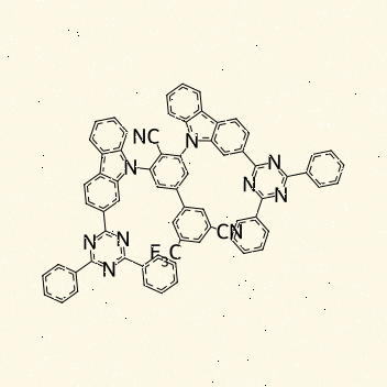 N#Cc1cc(-c2cc(-n3c4ccccc4c4ccc(-c5nc(-c6ccccc6)nc(-c6ccccc6)n5)cc43)c(C#N)c(-n3c4ccccc4c4ccc(-c5nc(-c6ccccc6)nc(-c6ccccc6)n5)cc43)c2)cc(C(F)(F)F)c1